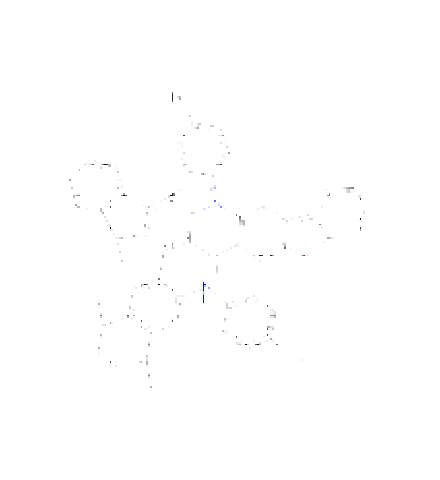 CC(C)(C)c1ccc(Nc2cc3c(cc2-c2c4c(c5c6cc(C(C)(C)C)ccc6n6c5c2Bc2cc5oc7ccccc7c5cc2-6)-c2ccccc2C4(C)C)C(C)(C)CCC3(C)C)cc1